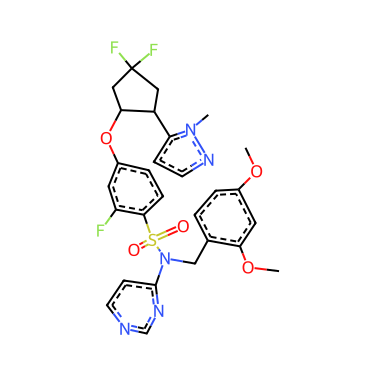 COc1ccc(CN(c2ccncn2)S(=O)(=O)c2ccc(OC3CC(F)(F)CC3c3ccnn3C)cc2F)c(OC)c1